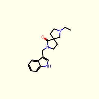 CCN1CCC2(CCN(Cc3c[nH]c4ccccc34)C2=O)C1